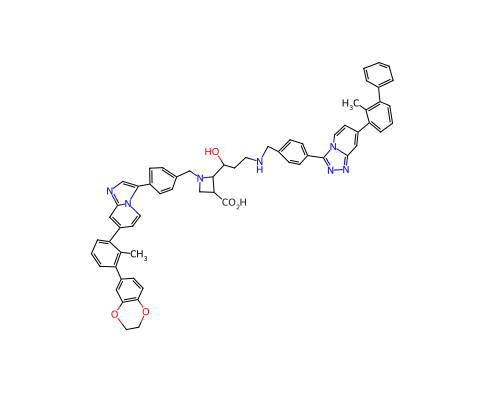 Cc1c(-c2ccc3c(c2)OCCO3)cccc1-c1ccn2c(-c3ccc(CN4CC(C(=O)O)C4C(O)CCNCc4ccc(-c5nnc6cc(-c7cccc(-c8ccccc8)c7C)ccn56)cc4)cc3)cnc2c1